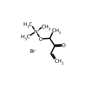 C=CC(=O)C(C)O[N+](C)(C)C.[Br-]